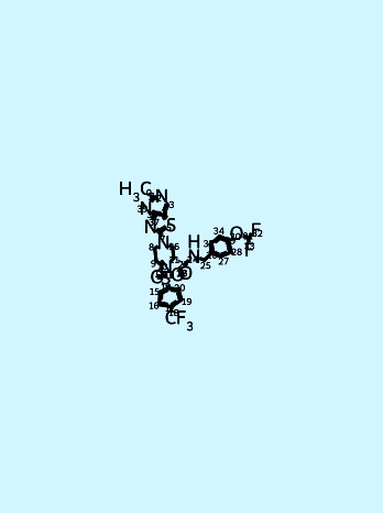 Cc1ncc2sc(N3CCN(S(=O)(=O)c4ccc(C(F)(F)F)cc4)[C@@H](C(=O)NCc4ccc(OC(F)F)cc4)C3)nc2n1